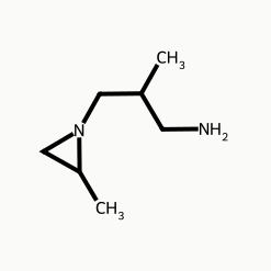 CC(CN)CN1CC1C